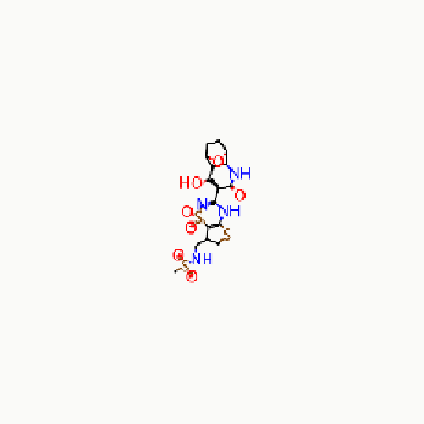 CS(=O)(=O)NCC1CSC2=C1S(=O)(=O)N=C(C1=C(O)C3C4CCC(O4)C3NC1=O)N2